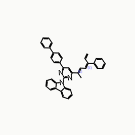 C=C/C(=C\C=C(/C)c1cc(-c2ccc(-c3ccccc3)cc2)nc(-n2c3ccccc3c3ccccc32)n1)c1ccccc1